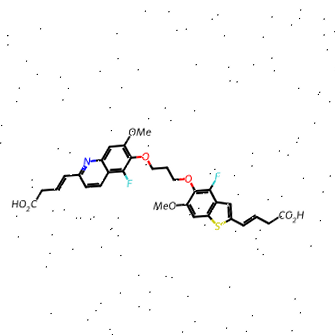 COc1cc2nc(/C=C/CC(=O)O)ccc2c(F)c1OCCCOc1c(OC)cc2sc(/C=C/CC(=O)O)cc2c1F